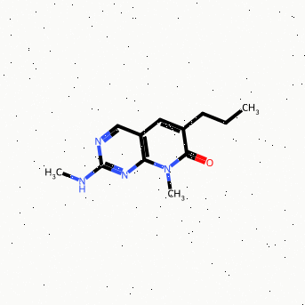 CCCc1cc2cnc(NC)nc2n(C)c1=O